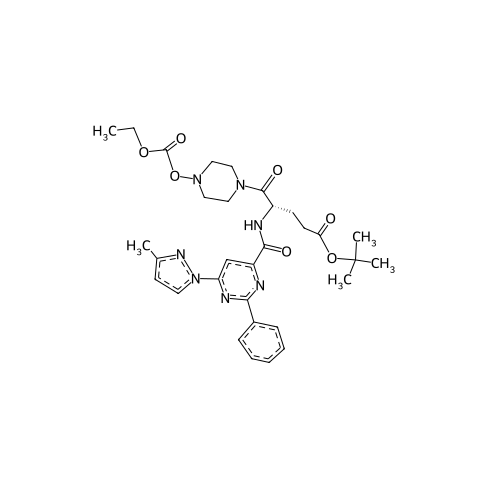 CCOC(=O)ON1CCN(C(=O)[C@H](CCC(=O)OC(C)(C)C)NC(=O)c2cc(-n3ccc(C)n3)nc(-c3ccccc3)n2)CC1